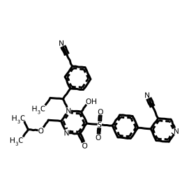 CCC(c1cccc(C#N)c1)n1c(COC(C)C)nc(=O)c(S(=O)(=O)c2ccc(-c3ccncc3C#N)cc2)c1O